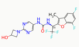 Cc1c([C@H](NC(=O)Nc2cnc(N3CC(O)C3)nc2)C(F)(F)F)oc2c(F)cc(F)cc12